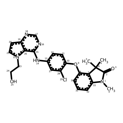 CN1C(=O)C(C)(C)c2c(Oc3ccc(Nc4ncnc5ccn(CCO)c45)cc3Cl)cccc21